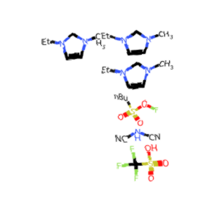 CCCCS(=O)(=O)OF.CCN1C=CN(C)C1.CCN1C=CN(C)C1.CCN1C=CN(C)C1.N#CNC#N.O=S(=O)(O)C(F)(F)F